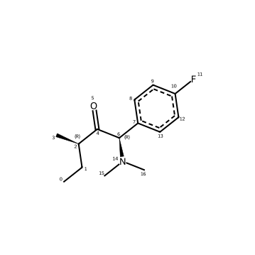 CC[C@@H](C)C(=O)[C@@H](c1ccc(F)cc1)N(C)C